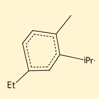 CCc1ccc(C)c([C](C)C)c1